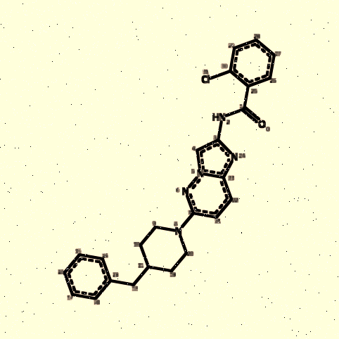 O=C(Nc1cn2nc(N3CCC(Cc4ccccc4)CC3)ccc2n1)c1ccccc1Cl